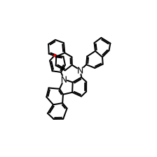 c1ccc(-n2c3ccc4ccccc4c3c3cccc(N(c4ccc5ccccc5c4)c4ccc5ccccc5c4)c32)cc1